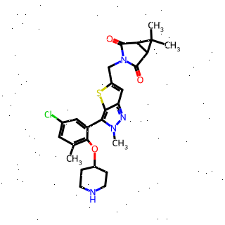 Cc1cc(Cl)cc(-c2c3sc(CN4C(=O)C5C(C4=O)C5(C)C)cc3nn2C)c1OC1CCNCC1